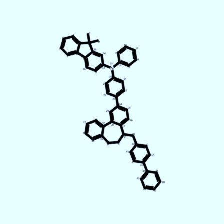 CC1(C)c2ccccc2-c2ccc(N(c3ccccc3)c3ccc(-c4ccc5c(c4)-c4ccccc4CCC5Cc4ccc(-c5ccccc5)cc4)cc3)cc21